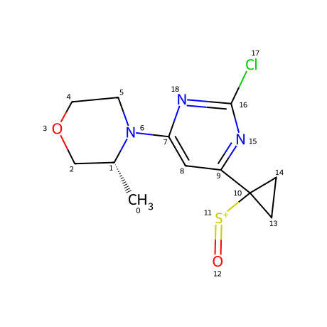 C[C@@H]1COCCN1c1cc(C2([S+]=O)CC2)nc(Cl)n1